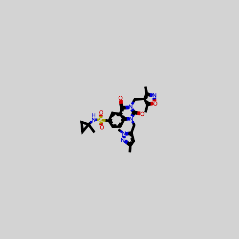 Cc1cc(Cn2c(=O)n(Cc3c(C)noc3C)c(=O)c3cc(S(=O)(=O)NC4(C)CC4)ccc32)n(C)n1